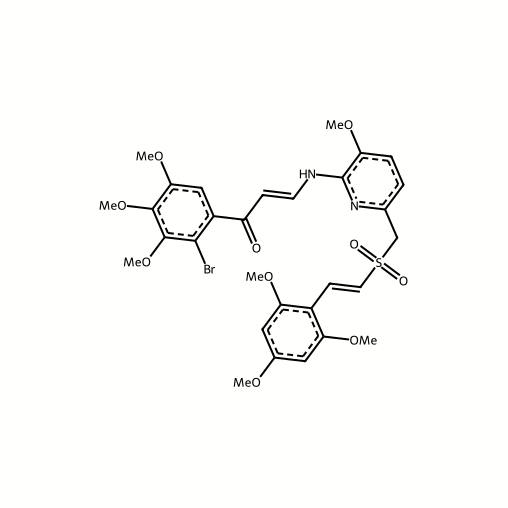 COc1cc(OC)c(/C=C/S(=O)(=O)Cc2ccc(OC)c(N/C=C/C(=O)c3cc(OC)c(OC)c(OC)c3Br)n2)c(OC)c1